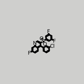 O=S(=O)(c1cc(F)cc(F)c1)c1cnc2cc(F)ccc2c1-c1cccc(Cl)c1